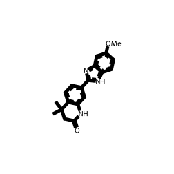 COc1ccc2[nH]c(-c3ccc4c(c3)NC(=O)CC4(C)C)nc2c1